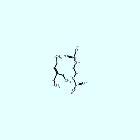 CCC=C(CC)CC.O=[N+]([O-])OCCO[N+](=O)[O-]